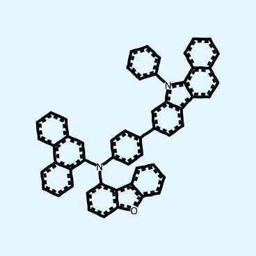 c1ccc(-n2c3cc(-c4ccc(N(c5cc6ccccc6c6ccccc56)c5cccc6oc7ccccc7c56)cc4)ccc3c3ccc4ccccc4c32)cc1